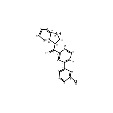 O=C(c1cc(-c2cccc(Cl)c2)ncn1)C1CNc2ccccc21